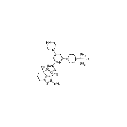 BC(B)(B)N1CCN(c2cc(N3CCNCC3)cc(-c3noc(C4(C)CCCc5sc(N)c(C#N)c54)n3)n2)CC1